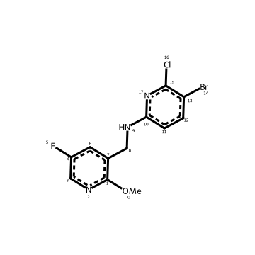 COc1ncc(F)cc1CNc1ccc(Br)c(Cl)n1